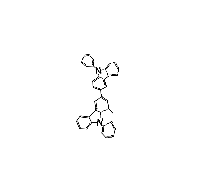 CC1C=C(c2ccc3c(c2)c2ccccc2n3-c2ccccc2)C=C2c3ccccc3N(c3ccccc3)C21